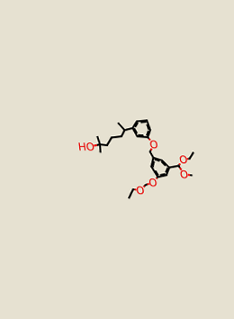 CCOCOc1cc(COc2cccc(C(C)CCCC(C)(C)O)c2)cc(C(OC)OCC)c1